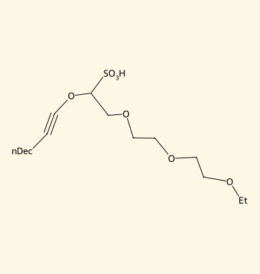 CCCCCCCCCCC#COC(COCCOCCOCC)S(=O)(=O)O